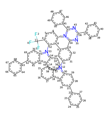 FC(F)(F)c1cccc(-c2cc(-n3c4ccccc4c4cc(-c5ccccc5)ccc43)ccc2-c2nc(-c3ccccc3)nc(-c3ccccc3)n2)c1-n1c2ccccc2c2cc(-c3ccccc3)ccc21